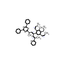 C/C=C\c1cc(C(/C=C(\C)c2ccccn2)=C/C(C)c2nc(-c3ccccc3)nc(-c3ccccc3)n2)c(/C=C\C)c(C)c1CC